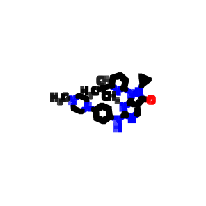 CN1CCN(c2ccc(Nc3ncc4c(=O)n(C5CC5)n(-c5cccc(C(C)(C)C(F)(F)F)n5)c4n3)cc2)CC1